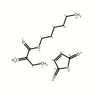 C=C(CC)C(=O)OCCCCCC.O=C1C=CC(=O)O1